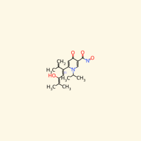 C=C(C)/C(=C\C(O)=C(C)C)c1cc(=O)c(C(=O)N=O)cn1C(C)C